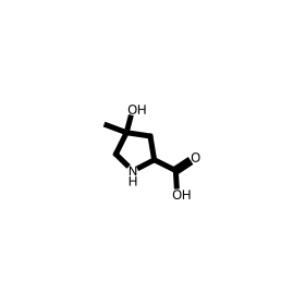 CC1(O)CNC(C(=O)O)C1